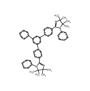 CC1(C)N=C(c2ccc(-c3cc(-c4ccccc4)cc(-c4ccc(C5=NC(C)(C)C(C)(C)N5c5ccccc5)cc4)c3)cc2)N(c2ccccc2)C1(C)C